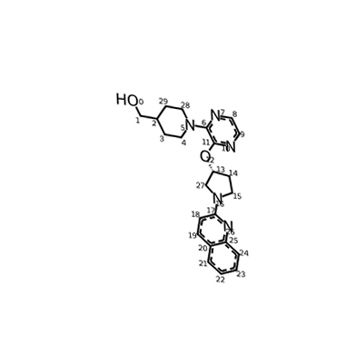 OCC1CCN(c2nccnc2O[C@@H]2CCN(c3ccc4ccccc4n3)C2)CC1